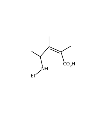 CCNC(C)/C(C)=C(/C)C(=O)O